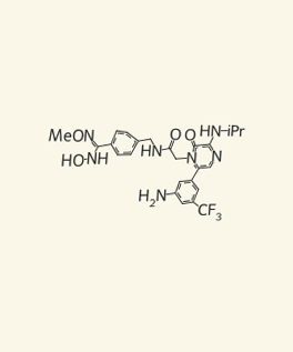 CO/N=C(\NO)c1ccc(CNC(=O)Cn2c(-c3cc(N)cc(C(F)(F)F)c3)cnc(NC(C)C)c2=O)cc1